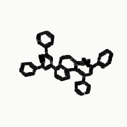 c1ccc(-c2cc(-c3cccc4c3ccc3nc(-c5ccccc5)cc(-c5ccccc5)c34)cc(-c3ccccc3)n2)cc1